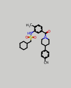 Cc1ccc(C(=O)N2CCC(c3ccc(C#N)cc3)CC2)cc1NS(=O)(=O)CC1CCCCC1